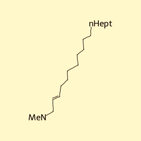 CCCCCCCCCCCCCCCC=CCNC